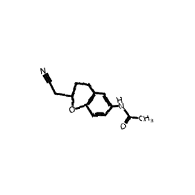 CC(=O)Nc1ccc2c(c1)CCC(CC#N)O2